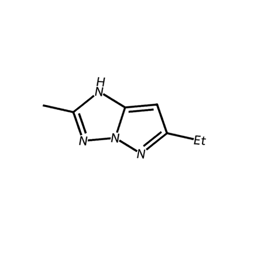 CCc1cc2[nH]c(C)nn2n1